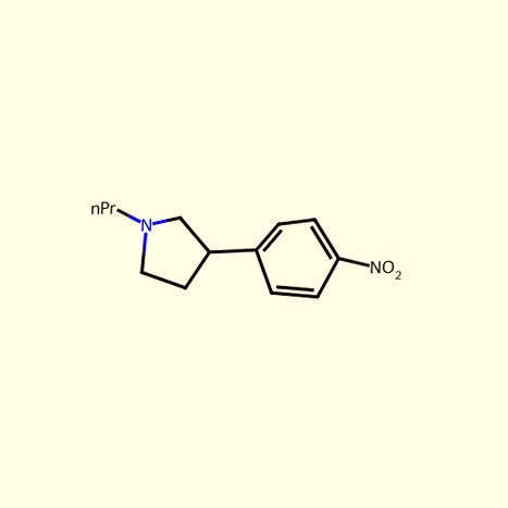 CCCN1CCC(c2ccc([N+](=O)[O-])cc2)C1